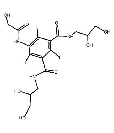 O=C(CO)Nc1c(I)c(C(=O)NCC(O)CO)c(I)c(C(=O)NCC(O)CO)c1I